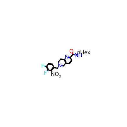 CCCCCCNC(=O)c1ccc2c(n1)CCN(Cc1ccc(F)c(F)c1[N+](=O)[O-])C2